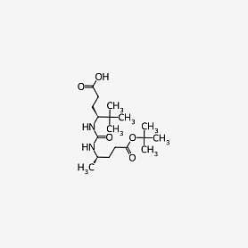 C[C@H](CCC(=O)OC(C)(C)C)NC(=O)N[C@@H](CCC(=O)O)C(C)(C)C